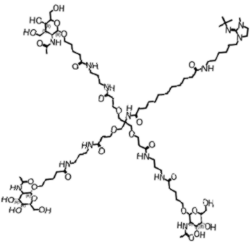 CC(=O)NC1[C@H](OCCCCC(=O)NCCCNC(=O)CCOCC(COCCC(=O)NCCCNC(=O)CCCCOC2OC(CO)[C@H](O)[C@H](O)[C@@H]2NC(C)=O)(COCCC(=O)NCCCNC(=O)CCCCO[C@@H]2OC(CO)[C@H](O)[C@H](CO)C2NC(C)=O)NC(=O)CCCCCCCCCCC(=O)NCCCCCCN2CCN(C)C2=NC(C)(C)C)OC(CO)[C@H](O)[C@@H]1O